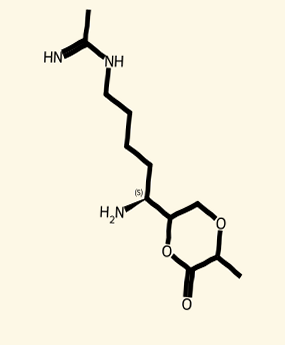 CC(=N)NCCCC[C@H](N)C1COC(C)C(=O)O1